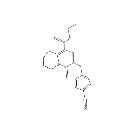 CCOC(=O)c1cc(Cc2ccc(C#N)cc2)c(=O)n2c1CCCC2